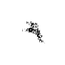 CCOC(=O)Cc1csc(NC(=O)Nc2ccc(C)cc2N(C)CC(C)C)n1